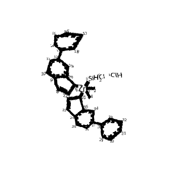 Cl.Cl.[CH3][Zr]([CH3])(=[SiH2])([CH]1C=Cc2ccc(-c3ccccc3)cc21)[CH]1C=Cc2ccc(-c3ccccc3)cc21